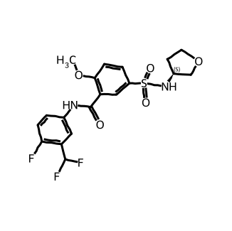 COc1ccc(S(=O)(=O)N[C@H]2CCOC2)cc1C(=O)Nc1ccc(F)c(C(F)F)c1